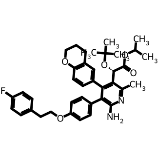 Cc1nc(N)c(-c2ccc(OCCc3ccc(F)cc3)cc2)c(-c2ccc3c(c2)CCCO3)c1[C@H](OC(C)(C)C)C(=O)OC(C)C